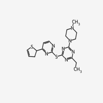 CCc1nc(Sc2nccc(C3CC=CS3)n2)nc(N2CCN(C)CC2)n1